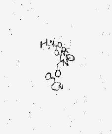 NC(=O)Oc1c(COC(=O)c2cccnc2)no[n+]1[O-]